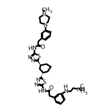 CNCCNc1cccc(CC(=O)Nc2nnc([C@H]3CCC[C@H](c4nnc(NC(=O)Cc5cccc(N6CCN(C)CC6)c5)s4)C3)s2)c1